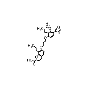 CCCc1c(OCCCOc2ccc(-c3cocn3)c(OC)c2CCC)ccc2c1OC(C(=O)O)CC2